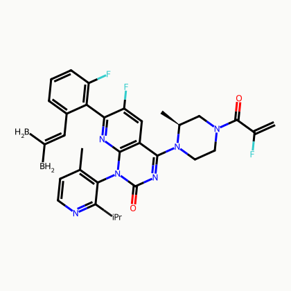 BC(B)=Cc1cccc(F)c1-c1nc2c(cc1F)c(N1CCN(C(=O)C(=C)F)C[C@@H]1C)nc(=O)n2-c1c(C)ccnc1C(C)C